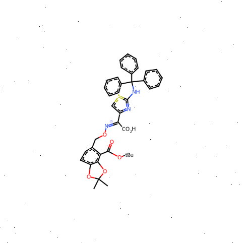 CC(C)(C)OC(=O)c1c(CO/N=C(\C(=O)O)c2csc(NC(c3ccccc3)(c3ccccc3)c3ccccc3)n2)ccc2c1OC(C)(C)O2